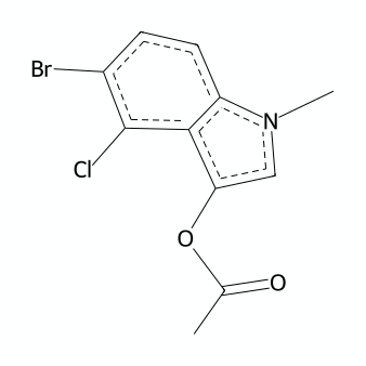 CC(=O)Oc1cn(C)c2ccc(Br)c(Cl)c12